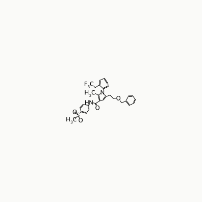 Cc1c(C(=O)Nc2ccc(S(C)(=O)=O)cc2)cc(CCOCc2ccccc2)n1-c1ccccc1CC(F)(F)F